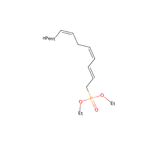 CCCCC/C=C\C/C=C\C=C\CP(=O)(OCC)OCC